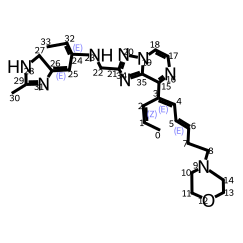 C\C=C/C(=C\C=C\CCN1CCOCC1)c1nccn2nc(CNC(/C=C3\CNC(C)=N3)=C/C)nc12